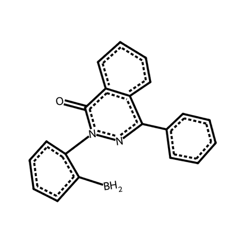 Bc1ccccc1-n1nc(-c2ccccc2)c2ccccc2c1=O